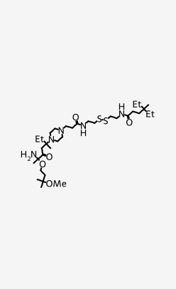 CCC(C)(CC)CCC(=O)NCCSSCCNC(=O)CCN1CCN(C(C)(CC)CC(=O)C(C)(N)OCCC(C)(C)OC)CC1